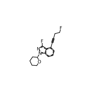 FCCC#Cc1cccc2c1c(F)nn2[C@@H]1CCCCO1